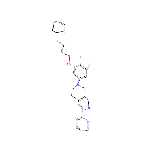 Fc1cc(N2CCc3nc(-c4ccccn4)ncc3C2)cc(OCCCCc2ccccc2)c1F